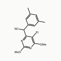 CCc1c(OC)nc(OC)nc1C(C#N)c1cc(C)cc(C)c1